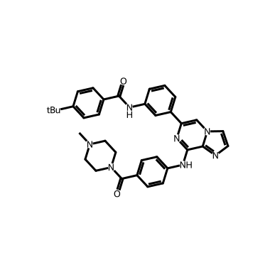 CN1CCN(C(=O)c2ccc(Nc3nc(-c4cccc(NC(=O)c5ccc(C(C)(C)C)cc5)c4)cn4ccnc34)cc2)CC1